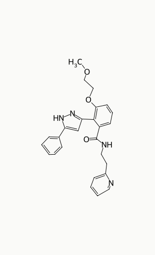 COCCOc1cccc(C(=O)NCCc2ccccn2)c1-c1cc(-c2ccccc2)[nH]n1